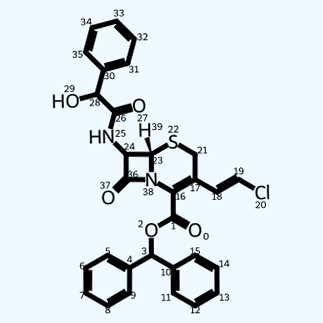 O=C(OC(c1ccccc1)c1ccccc1)C1=C(/C=C/Cl)CS[C@H]2C(NC(=O)C(O)c3ccccc3)C(=O)N12